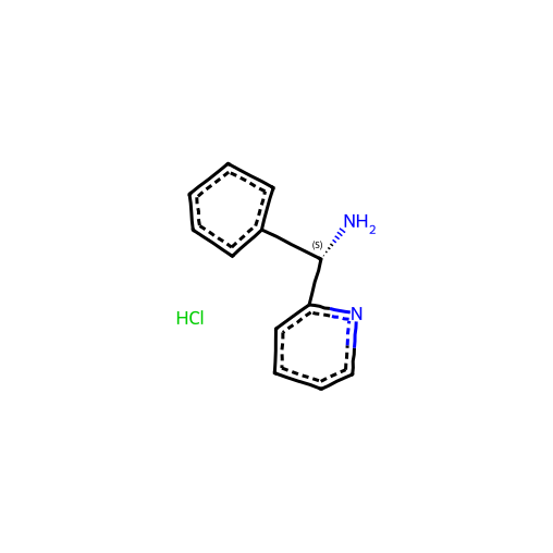 Cl.N[C@@H](c1ccccc1)c1ccccn1